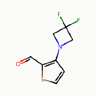 O=Cc1sccc1N1CC(F)(F)C1